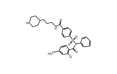 Cl.O=C(NCCCC1CCNCC1)c1ccc(S(=O)(=O)N(C(=O)c2ccc(Cl)cc2Cl)c2ccccc2)cc1